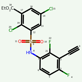 C#Cc1c(F)ccc(NS(=O)(=O)c2cc(Cl)cc(C(=O)OCC)c2Cl)c1F